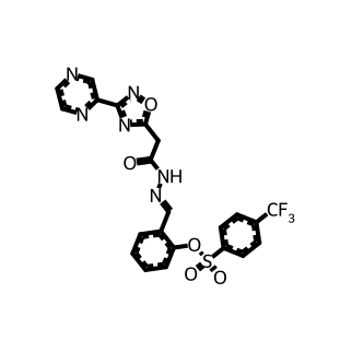 O=C(Cc1nc(-c2cnccn2)no1)NN=Cc1ccccc1OS(=O)(=O)c1ccc(C(F)(F)F)cc1